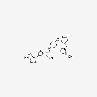 N#CCC1(n2cc(-c3ncnc4[nH]ccc34)cn2)CN(C2CCC(Oc3cc(CN4CCC[C@H]4CO)cc(C(F)(F)F)n3)CC2)C1